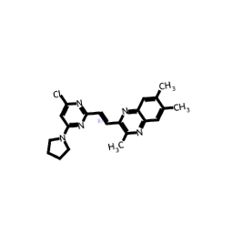 Cc1cc2nc(C)c(/C=C/c3nc(Cl)cc(N4CCCC4)n3)nc2cc1C